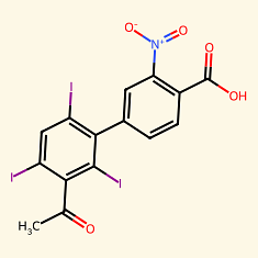 CC(=O)c1c(I)cc(I)c(-c2ccc(C(=O)O)c([N+](=O)[O-])c2)c1I